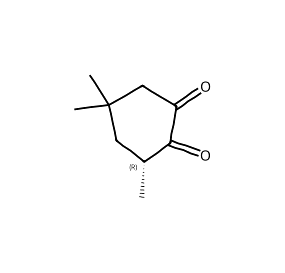 C[C@@H]1CC(C)(C)CC(=O)C1=O